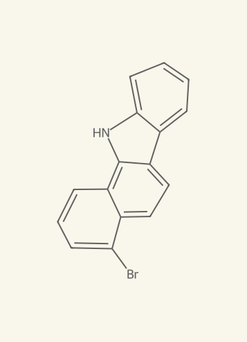 Brc1cccc2c1ccc1c3ccccc3[nH]c21